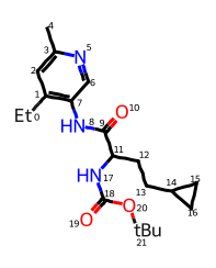 CCc1cc(C)ncc1NC(=O)C(CCC1CC1)NC(=O)OC(C)(C)C